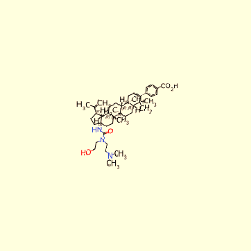 C=C(C)[C@@H]1CC[C@]2(NC(=O)N(CCO)CCN(C)C)CC[C@]3(C)[C@H](CC[C@@H]4[C@@]5(C)CC=C(c6ccc(C(=O)O)cc6)C(C)(C)[C@@H]5CC[C@]43C)[C@@H]12